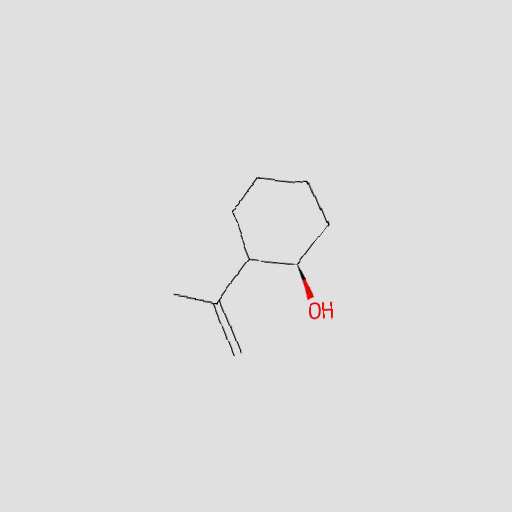 C=C(C)C1CCCC[C@H]1O